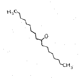 CCCCCCCCCC([O])CCCCCCCC